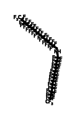 FC(F)(F)C(F)(F)C(F)(F)C(F)(F)C(F)(F)C(F)(F)C(F)(F)C(F)(F)C(F)(F)C(F)(F)C(F)(F)C(F)(F)C(F)(F)C(F)(F)CNCC(F)(F)C(F)(F)C(F)(F)C(F)(F)C(F)(F)C(F)(F)C(F)(F)C(F)(F)C(F)(F)C(F)(F)C(F)(F)C(F)(F)C(F)(F)C(F)(F)F